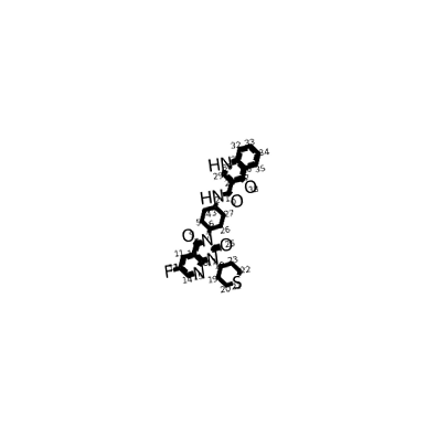 O=C(NC1CCC(n2c(=O)c3cc(F)cnc3n(C3CCSCC3)c2=O)CC1)c1c[nH]c2ccccc2c1=O